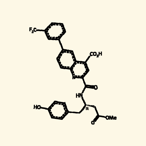 COC(=O)C[C@H](Cc1ccc(O)cc1)NC(=O)c1cc(C(=O)O)c2cc(-c3cccc(C(F)(F)F)c3)ccc2n1